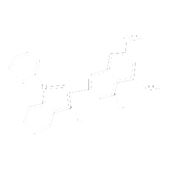 COc1cc(OC)c2c(=O)cc(-c3cn(-c4ccccc4)c4ccccc4c3=O)oc2c1